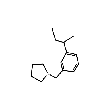 CCC(C)c1cccc(CN2CCCC2)c1